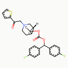 O=C(OC(c1ccc(F)cc1)c1ccc(F)cc1)O[C@H]1C[N+]2(CC(=O)c3cccs3)CCC1CC2